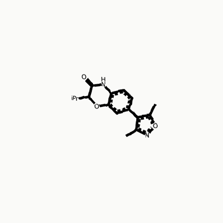 Cc1noc(C)c1-c1ccc2c(c1)OC(C(C)C)C(=O)N2